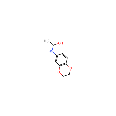 CC(O)Nc1ccc2c(c1)OCCO2